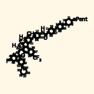 CCCCCC1CCC(c2ccc(-c3ccc(C(=O)Nc4ccc(-c5cc6c(cc5C)C(C)(C)c5c7c(c8cc(C(F)(F)F)ccc8c5-6)OC(c5ccc(F)cc5)(c5ccc(N6CCCCC6)cc5)C=C7)cc4)cc3)cc2)CC1